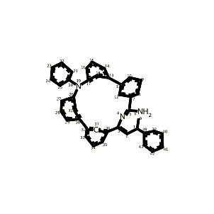 CC(/C=C1\N=C(/N)c2cccc(c2)-c2cccc(c2)N(c2ccccc2)c2cccc(c2)-c2cccc1c2)c1ccccc1